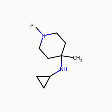 CC(C)N1CCC(C)(NC2CC2)CC1